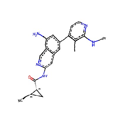 Cc1c(-c2cc(N)c3cnc(NC(=O)[C@@H]4C[C@H]4C#N)cc3c2)ccnc1NC(C)C